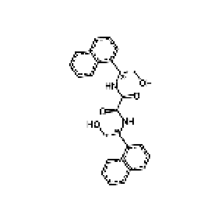 O=C(N[C@@H](CO)c1cccc2ccccc12)C(=O)N[C@@H](CO)c1cccc2ccccc12